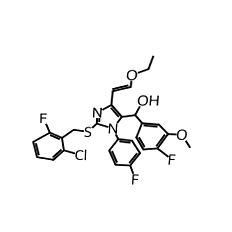 CCOC=Cc1nc(SCc2c(F)cccc2Cl)n(-c2ccc(F)cc2)c1C(O)c1ccc(F)c(OC)c1